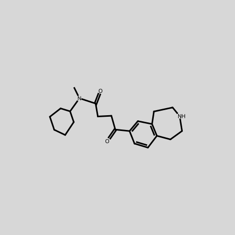 CN(C(=O)CCC(=O)c1ccc2c(c1)CCNCC2)C1CCCCC1